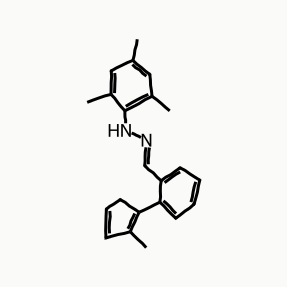 CC1=C(c2ccccc2/C=N/Nc2c(C)cc(C)cc2C)CC=C1